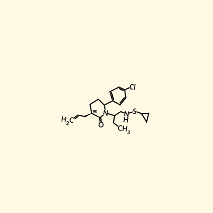 C=CC[C@H]1CCC(c2ccc(Cl)cc2)N(C(CC)CNSC2CC2)C1=O